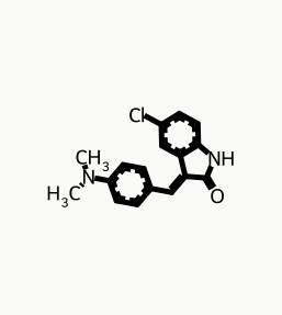 CN(C)c1ccc(/C=C2/C(=O)Nc3ccc(Cl)cc32)cc1